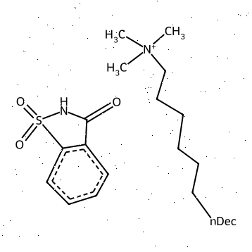 CCCCCCCCCCCCCCCC[N+](C)(C)C.O=C1NS(=O)(=O)c2ccccc21